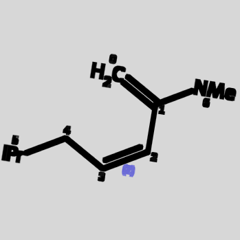 C=C(/C=C\CC(C)C)NC